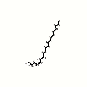 CCCCCCCCCCCCCCC/C=N\CCO